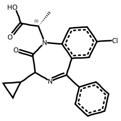 C[C@@H](C(=O)O)N1C(=O)C(C2CC2)N=C(c2ccccc2)c2cc(Cl)ccc21